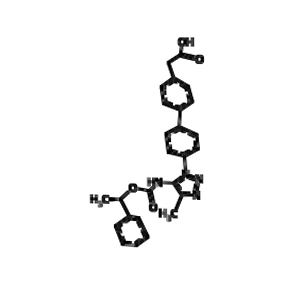 Cc1nnn(-c2ccc(-c3ccc(CC(=O)O)cc3)cc2)c1NC(=O)O[C@H](C)c1ccccc1